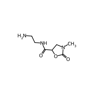 CN1CC(C(=O)NCCN)OC1=O